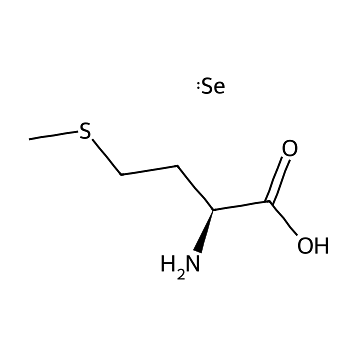 CSCC[C@H](N)C(=O)O.[Se]